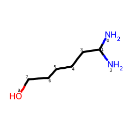 NC(N)CCCCCO